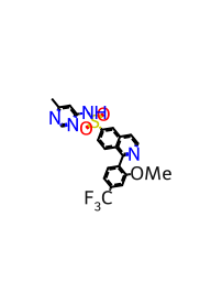 COc1cc(C(F)(F)F)ccc1-c1nccc2cc(S(=O)(=O)Nc3cc(C)ncn3)ccc12